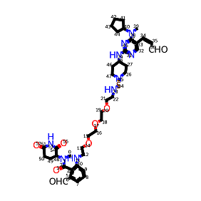 CN(C(=O)c1c(C=O)cccc1NCCOCCOCCOCCNSN1CCC(Nc2ncc(/C=C\C=O)c(N(C)C3CCCC3)n2)CC1)C1CCC(=O)NC1=O